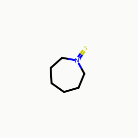 S=[N+]1CCCCCC1